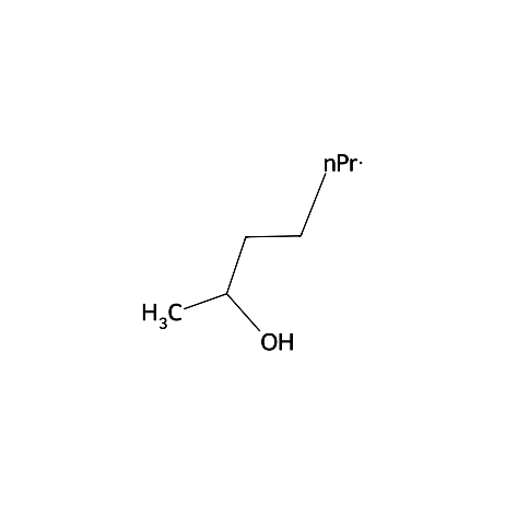 CC[CH]CCC(C)O